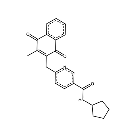 CC1=C(Cc2ccc(C(=O)NC3CCCC3)cn2)C(=O)c2ccccc2C1=O